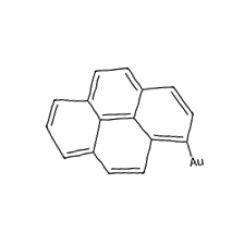 [Au][c]1ccc2ccc3cccc4ccc1c2c34